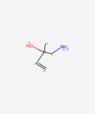 C=CC(C)(O)CN